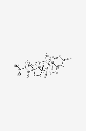 CCN(CC)C(O)C(=O)[C@@]1(O)CC[C@H]2[C@@H]3CCC4=CC(=O)C=C[C@]4(C)[C@H]3[C@@H](O)C[C@@]21C